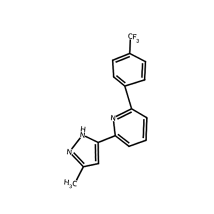 Cc1cc(-c2cccc(-c3ccc(C(F)(F)F)cc3)n2)[nH]n1